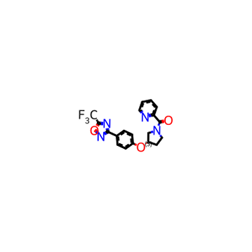 O=C(c1ccccn1)N1CC[C@H](Oc2ccc(-c3noc(C(F)(F)F)n3)cc2)C1